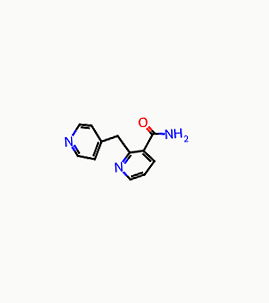 NC(=O)c1cccnc1Cc1ccncc1